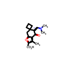 Cc1c(C(=O)O)oc2c1C(=O)/C(=C\N(C)C)C1(CCC1)C2